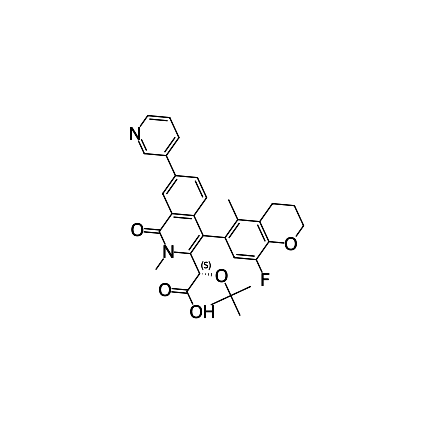 Cc1c(-c2c([C@H](OC(C)(C)C)C(=O)O)n(C)c(=O)c3cc(-c4cccnc4)ccc23)cc(F)c2c1CCCO2